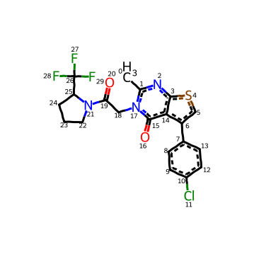 Cc1nc2scc(-c3ccc(Cl)cc3)c2c(=O)n1CC(=O)N1CCCC1C(F)(F)F